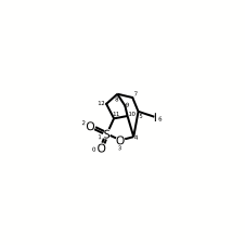 O=S1(=O)OC2C(I)CC3CC2C1C3